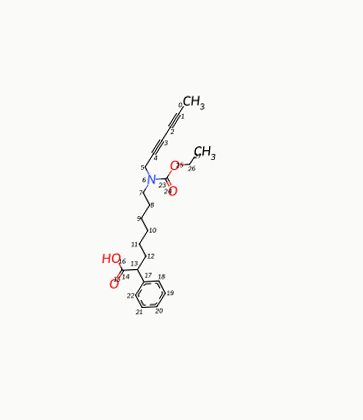 CC#CC#CCN(CCCCCCC(C(=O)O)c1ccccc1)C(=O)OCC